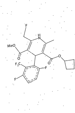 COC(=O)C1=C(CF)NC(C)=C(C(=O)OC2CCC2)C1c1c(F)ccc(F)c1C(F)(F)F